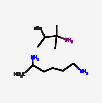 CCCCC(C)C(C)(C)P.NCCCCC(N)C(=O)O